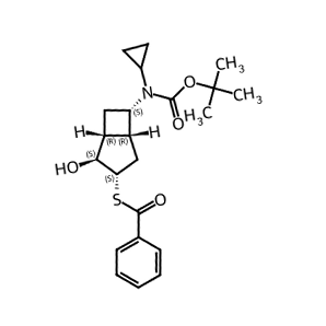 CC(C)(C)OC(=O)N(C1CC1)[C@H]1C[C@H]2[C@H](O)[C@@H](SC(=O)c3ccccc3)C[C@H]21